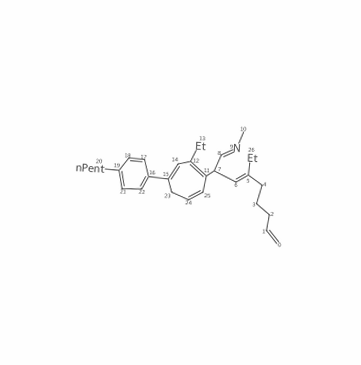 C=CCCC/C(=C/C(/C=N/C)C1=C(CC)C=C(c2ccc(CCCCC)cc2)CC=C1)CC